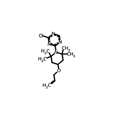 C=CCOC1CC(C)(C)N(c2ncnc(Cl)n2)C(C)(C)C1